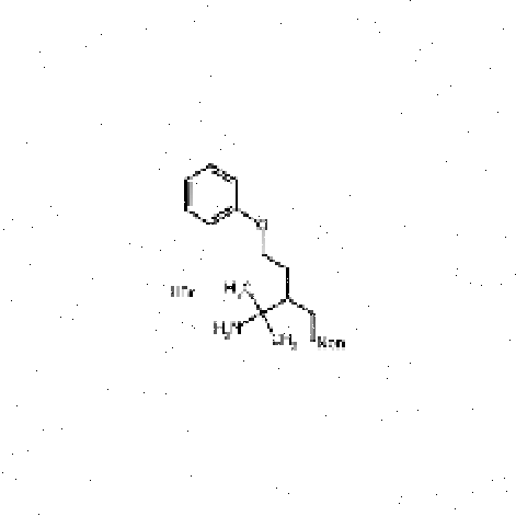 Br.CCCCCCCCCCC(CCOc1ccccc1)C(C)(C)N